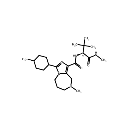 CNC(=O)[C@@H](NC(=O)c1nc(C2CCC(C)CC2)n2c1CN(C)CCC2)C(C)(C)C